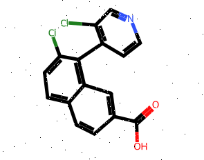 O=C(O)c1ccc2ccc(Cl)c(-c3ccncc3Cl)c2c1